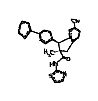 C[C@@]1(C(=O)Nc2nccs2)Cc2ccc(C#N)cc2[C@@H]1c1ccc(-c2ccccc2)cc1